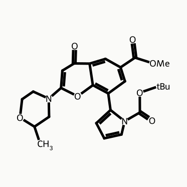 COC(=O)c1cc(-c2cccn2C(=O)OC(C)(C)C)c2oc(N3CCOC(C)C3)cc(=O)c2c1